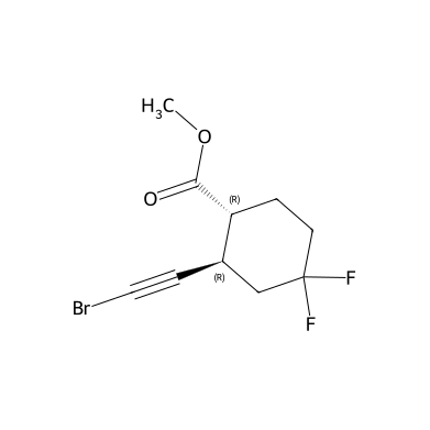 COC(=O)[C@@H]1CCC(F)(F)C[C@H]1C#CBr